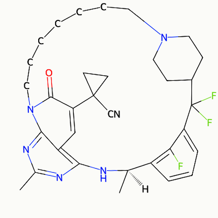 Cc1nc2c3cc(C4(C#N)CC4)c(=O)n(c3n1)CCCCCCCN1CCC(CC1)C(F)(F)c1cccc(c1F)[C@@H](C)N2